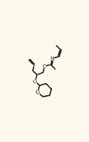 C=CCC(CO/C(C)=N/C=C\C)OC1CCCCO1